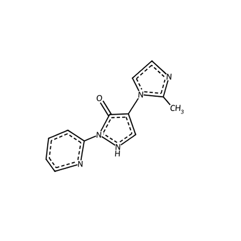 Cc1nccn1-c1c[nH]n(-c2ccccn2)c1=O